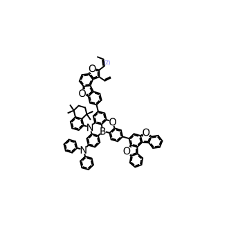 C=Cc1c(/C=C\C)oc2ccc3oc4cc(-c5cc6c7c(c5)N(c5cccc8c5C(C)(C)CCC8(C)C)c5cc(N(c8ccccc8)c8ccccc8)ccc5B7c5ccc(-c7cc8oc9ccccc9c8c8c7oc7ccccc78)cc5O6)ccc4c3c12